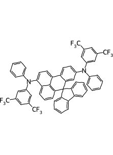 FC(F)(F)c1cc(N(c2ccccc2)c2ccc3c(c2)C2(c4ccccc4-c4ccccc42)c2cccc4c(N(c5ccccc5)c5cc(C(F)(F)F)cc(C(F)(F)F)c5)ccc-3c24)cc(C(F)(F)F)c1